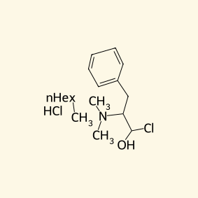 CCCCCCC.CN(C)C(Cc1ccccc1)C(O)Cl.Cl